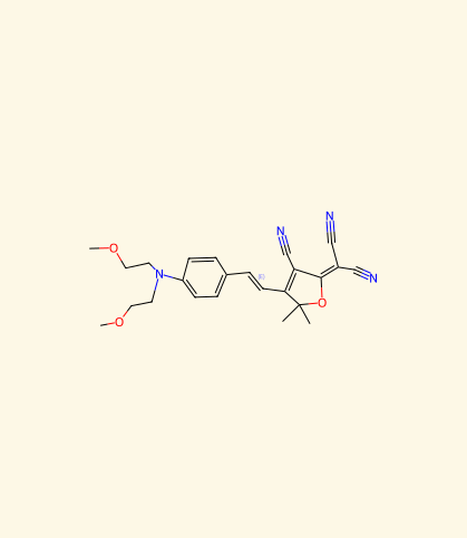 COCCN(CCOC)c1ccc(/C=C/C2=C(C#N)C(=C(C#N)C#N)OC2(C)C)cc1